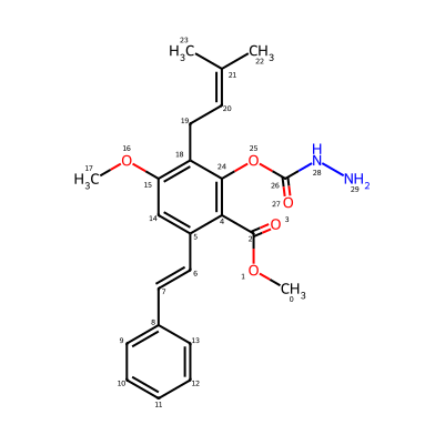 COC(=O)c1c(/C=C/c2ccccc2)cc(OC)c(CC=C(C)C)c1OC(=O)NN